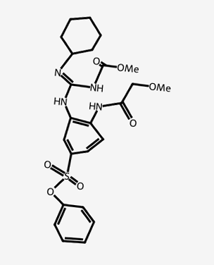 COCC(=O)Nc1ccc(S(=O)(=O)Oc2ccccc2)cc1N/C(=N/C1CCCCC1)NC(=O)OC